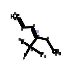 C=C/C=C(/CC)C(F)(F)F